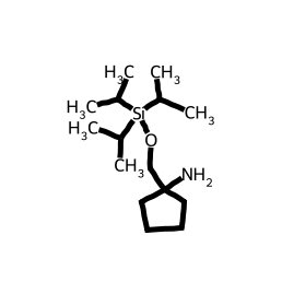 CC(C)[Si](OCC1(N)CCCC1)(C(C)C)C(C)C